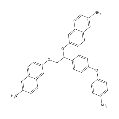 Nc1ccc(Oc2ccc(C(COc3ccc4cc(N)ccc4c3)Oc3ccc4cc(N)ccc4c3)cc2)cc1